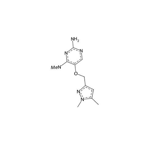 CNc1nc(N)ncc1OCc1cc(C)n(C)n1